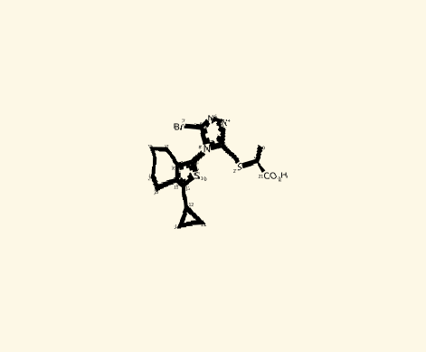 C[C@H](Sc1nnc(Br)n1-c1sc(C2CC2)c2c1CCCC2)C(=O)O